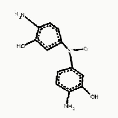 Nc1ccc([S+]([O-])c2ccc(N)c(O)c2)cc1O